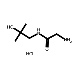 CC(C)(O)CNC(=O)CN.Cl